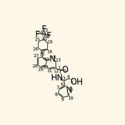 O=C(NC(CO)c1ccccn1)c1cnc2c(C3=CCC(C(F)(F)F)CC3)cccc2c1